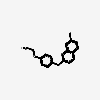 O=C(O)COc1ccc(Oc2cnc3ccc(Cl)cc3n2)cc1